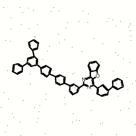 c1ccc(-c2cc(-c3ccccc3)cc(-c3ccc(-c4ccc(-c5cccc(-c6nc(-c7cccc(-c8ccccc8)c7)c7oc8ccccc8c7n6)c5)cc4)cc3)c2)cc1